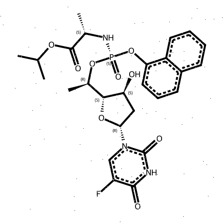 CC(C)OC(=O)[C@H](C)N[P@@](=O)(Oc1cccc2ccccc12)O[C@H](C)[C@H]1O[C@@H](n2cc(F)c(=O)[nH]c2=O)C[C@@H]1O